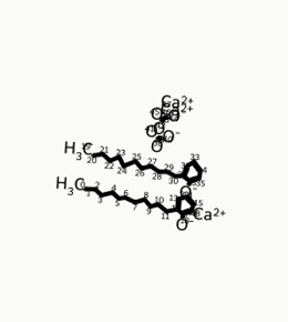 CCCCCCCCCCCCc1ccccc1[O-].CCCCCCCCCCCCc1ccccc1[O-].O=C([O-])[O-].O=C([O-])[O-].[Ca+2].[Ca+2].[Ca+2]